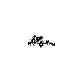 Cn1c(C(F)(F)F)cc(=O)n(-c2cc(Oc3ccccc3OCC(=O)OCC#N)c(Br)cc2F)c1=O